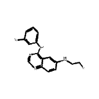 ClCCNc1ccc2ncnc(Nc3cccc(Br)c3)c2c1